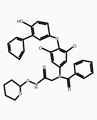 O=C(CN(C(=O)c1ccccc1)c1cc(Cl)c(Oc2ccc(O)c(-c3ccccc3)c2)c(Cl)c1)NOC1CCCCO1